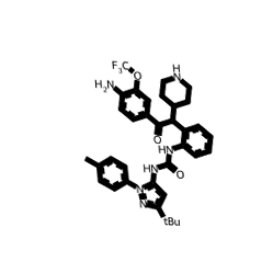 Cc1ccc(-n2nc(C(C)(C)C)cc2NC(=O)Nc2ccccc2C(C(=O)c2ccc(N)c(OC(F)(F)F)c2)C2CCNCC2)cc1